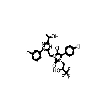 CC(O)c1nc(Cn2c(Cl)c(-c3ccc(Cl)cc3)n(CC(O)C(F)(F)F)c2=O)n(-c2cccc(F)c2)n1